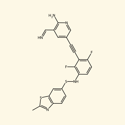 Cc1nc2ccc(SNc3ccc(F)c(C#Cc4cnc(N)c(C=N)c4)c3F)cc2s1